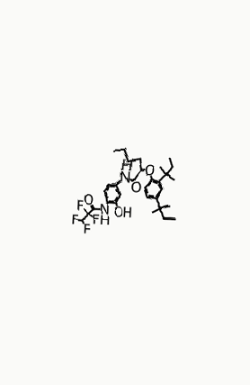 CCCCC(Oc1ccc(C(C)(C)CC)cc1C(C)(C)CC)C(=O)Nc1ccc(NC(=O)C(F)(F)C(F)F)c(O)c1